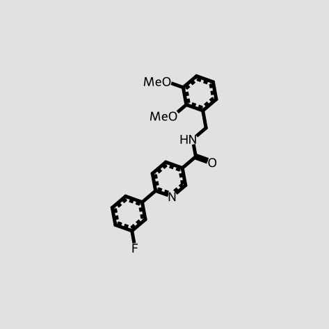 COc1cccc(CNC(=O)c2ccc(-c3cccc(F)c3)nc2)c1OC